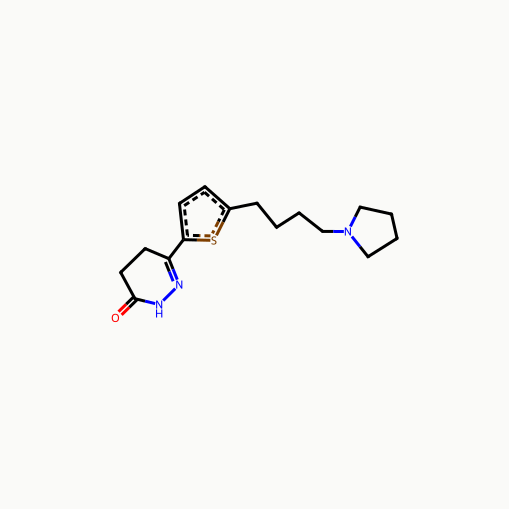 O=C1CCC(c2ccc(CCCCN3CCCC3)s2)=NN1